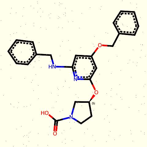 O=C(O)N1CC[C@H](Oc2cc(OCc3ccccc3)cc(NCc3ccccc3)n2)C1